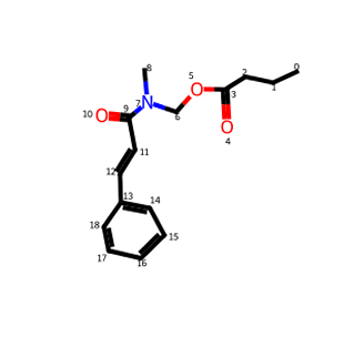 CCCC(=O)OCN(C)C(=O)/C=C/c1ccccc1